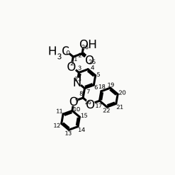 CC(Oc1cccc(C(Oc2ccccc2)Oc2ccccc2)n1)C(=O)O